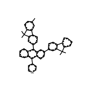 Cc1ccc2c(c1)-c1ccc(-c3c4ccccc4c(-c4ccncc4)c4ccc(-c5ccc6c(c5)C(C)(C)c5ccccc5-6)cc34)cc1C2(C)C